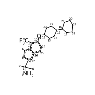 CC(C)(N)c1ccc2c(C(F)(F)F)c(O[C@H]3CC[C@H](C4CCCCC4)CC3)ccc2c1